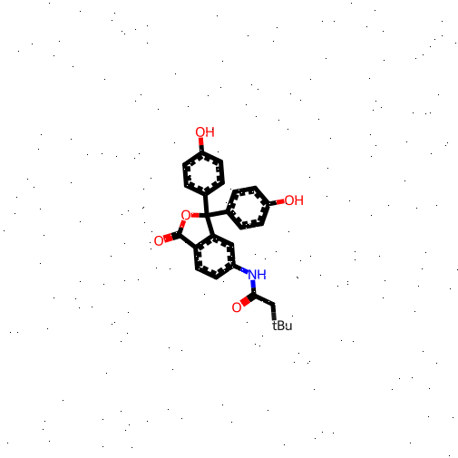 CC(C)(C)CC(=O)Nc1ccc2c(c1)C(c1ccc(O)cc1)(c1ccc(O)cc1)OC2=O